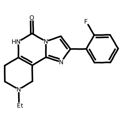 CCN1CCc2[nH]c(=O)n3cc(-c4ccccc4F)nc3c2C1